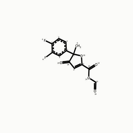 CC1(c2ccc(F)c(F)c2)OC(C(=O)OC=O)=CC1=O